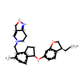 O=C(O)C[C@@H]1COc2cc(O[C@@H]3CCc4c3ccc(C(F)(F)F)c4CN3C=C4CON=C4CC3)ccc21